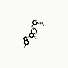 Nc1cc(CN2CCOc3c(Cl)cc(-n4ccc5cc(F)ccc54)cc3C2)ccn1